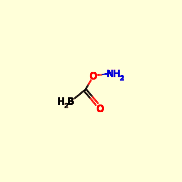 BC(=O)ON